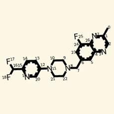 Cc1cnc2cc(CN3CCN(c4ccc(C(F)F)nc4)CC3)cc(F)c2n1